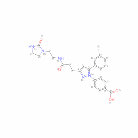 O=C(CCc1cc(-c2cccc(F)c2)n(-c2ccc(C(=O)O)cc2)n1)NCCN1CCNC1=O